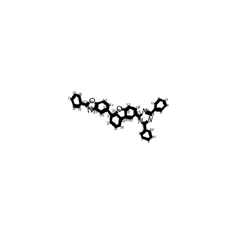 c1ccc(-c2nc(-c3ccccc3)nc(-c3ccc4oc5c(-c6ccc7oc(-c8ccccc8)nc7c6)cccc5c4c3)n2)cc1